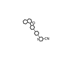 N#Cc1ccnc(-c2ccc(-c3ccc4c(c3)oc3ccc5ccccc5c34)cc2)c1